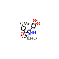 COc1ccc(C(CCC=O)(O[N+](=O)[O-])c2cc(-c3ccc(S(C)(=O)=O)cc3)[nH]n2)cc1